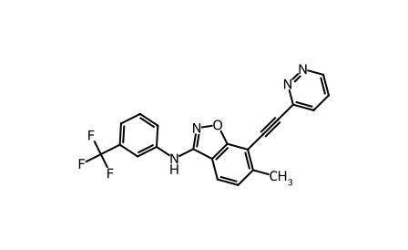 Cc1ccc2c(Nc3cccc(C(F)(F)F)c3)noc2c1C#Cc1cccnn1